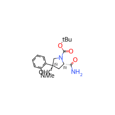 CNc1ccccc1[C@@]1(C=O)C[C@@H](C(N)=O)N(C(=O)OC(C)(C)C)C1